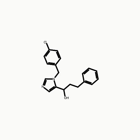 OC(CCc1ccccc1)c1cncn1Cc1ccc(Cl)cc1